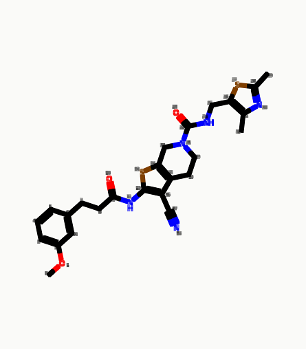 COc1cccc(CCC(=O)Nc2sc3c(c2C#N)CCN(C(=O)NCc2sc(C)nc2C)C3)c1